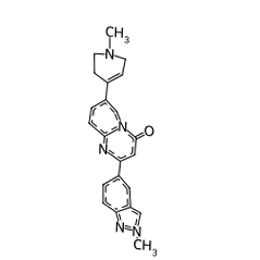 CN1CC=C(c2ccc3nc(-c4ccc5nn(C)cc5c4)cc(=O)n3c2)CC1